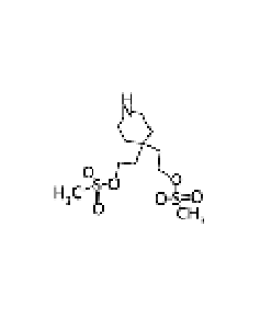 CS(=O)(=O)OCCC1(CCOS(C)(=O)=O)CCNCC1